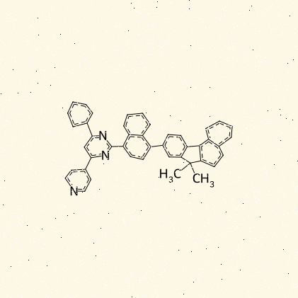 CC1(C)c2cc(-c3ccc(-c4nc(-c5ccccc5)cc(-c5ccncc5)n4)c4ccccc34)ccc2-c2c1ccc1ccccc21